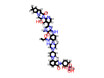 C=CC(=O)Nc1cc(Nc2nc(-c3ccnc(N4CCn5c(cc6c5CC(C)(C)C6)C4=O)c3CO)cn(C)c2=O)ccc1N1CCN(C2CCN(c3cccc4c3CN(C3CCC(C)(OP(=O)(O)O)CC3)C4=O)[C@@H](C)C2)C[C@@H]1C